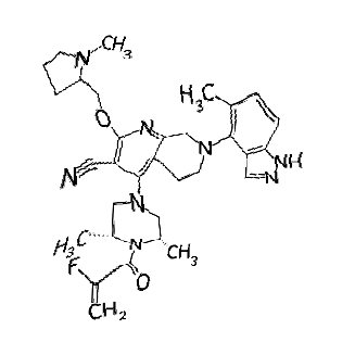 C=C(F)C(=O)N1[C@H](C)CN(c2c(C#N)c(OCC3CCCN3C)nc3c2CCN(c2c(C)ccc4[nH]ncc24)C3)C[C@@H]1C